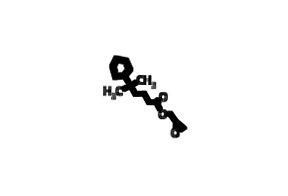 CC(C)(CCCC(=O)OCC1CO1)c1ccccc1